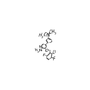 CN(C)c1cccc(-c2cnc(N)c(OCc3c(F)ccc(F)c3Cl)c2)c1